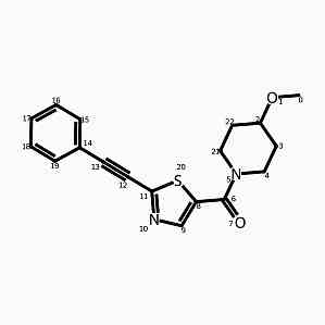 COC1CCN(C(=O)c2cnc(C#Cc3ccccc3)s2)CC1